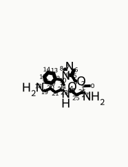 CCOC(=O)c1cncn1C(C)c1ccccc1.NCCCCNCCCN